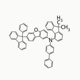 CC1(C)c2ccccc2-c2c(N(c3ccc(-c4ccccc4)cc3)c3ccc4oc5cc(C6(c7ccccc7)c7ccccc7-c7ccccc76)ccc5c4c3)cccc21